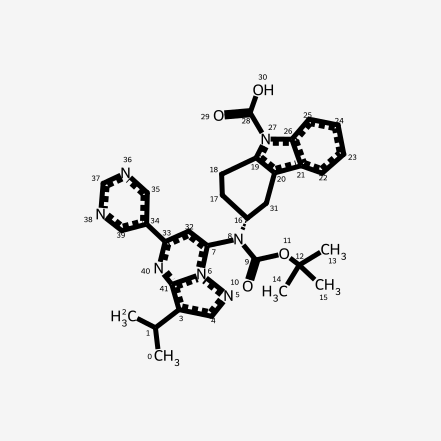 CC(C)c1cnn2c(N(C(=O)OC(C)(C)C)[C@@H]3CCc4c(c5ccccc5n4C(=O)O)C3)cc(-c3cncnc3)nc12